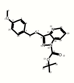 COc1ccc(CSc2nn(C(=O)OC(C)(C)C)c3cccnc23)cc1